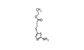 CCOC(=O)CCSc1cnc(N)s1